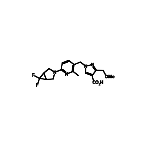 COCc1nn(Cc2ccc(N3CC4C(C3)C4(F)F)nc2C)cc1C(=O)O